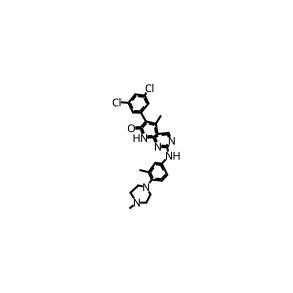 Cc1cc(Nc2ncc3c(C)c(-c4cc(Cl)cc(Cl)c4)c(=O)[nH]c3n2)ccc1N1CCN(C)CC1